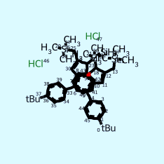 CC(C)(C)c1ccc(-c2cccc3c2C=C(C[Si](C)(C)C)[CH]3[Zr]([CH3])([CH3])(=[SiH2])[CH]2C(C[Si](C)(C)C)=Cc3c(-c4ccc(C(C)(C)C)cc4)cccc32)cc1.Cl.Cl